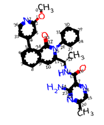 COc1cc(-c2cccc3cc([C@H](C)NC(=O)c4ncc(C)nc4N)n(-c4ccccc4)c(=O)c23)ccn1